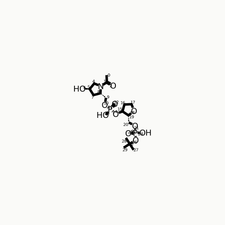 CC(=O)N1C[C@H](O)C[C@H]1COP(=O)(O)OC1CCO[C@@H]1COP(=O)(O)OC(C)(C)C